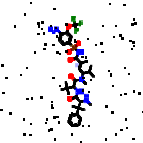 CNC(C(=O)NC(C(=O)N(C)C(/C=C(\C)C(=O)NS(=O)(=O)c1ccc(N)c(OC(F)(F)F)c1)C(C)C)C(C)(C)C)C(C)(C)c1ccccc1